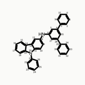 c1ccc(-c2cc(Nc3ccc4c(c3)c3ccccc3n4-c3ccccc3)cc(-c3ccccc3)c2)cc1